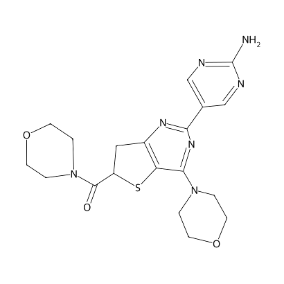 Nc1ncc(-c2nc3c(c(N4CCOCC4)n2)SC(C(=O)N2CCOCC2)C3)cn1